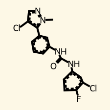 Cn1ncc(Cl)c1-c1cccc(NC(=O)Nc2ccc(F)c(Cl)c2)c1